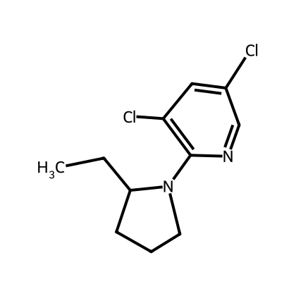 CCC1CCCN1c1ncc(Cl)cc1Cl